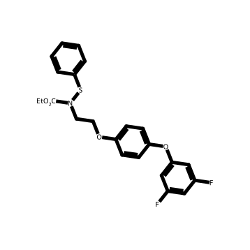 CCOC(=O)N(CCOc1ccc(Oc2cc(F)cc(F)c2)cc1)Sc1ccccc1